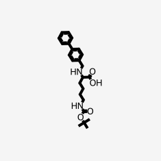 CC(C)(C)OC(=O)NCCCCC(NCc1ccc(-c2ccccc2)cc1)C(=O)O